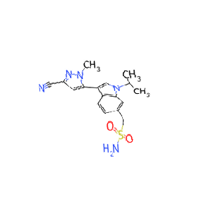 CC(C)n1cc(-c2cc(C#N)nn2C)c2ccc(CS(N)(=O)=O)cc21